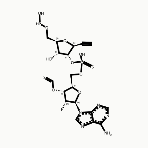 C#C[C@@H]1O[C@H](COPO)[C@@H](O)[C@H]1OP(O)(=S)OC[C@H]1O[C@@H](n2cnc3c(N)ncnc32)[C@H](F)[C@@H]1OC=S